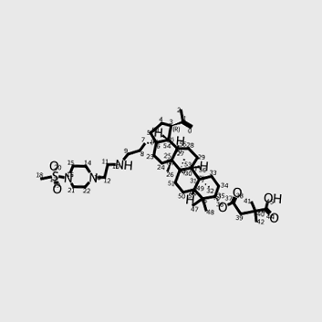 C=C(C)[C@@H]1CC[C@]2(CCCNCCN3CCN(S(C)(=O)=O)CC3)CC[C@]3(C)[C@H](CC[C@@H]4[C@@]5(C)CC[C@H](OC(=O)CC(C)(C)C(=O)O)C(C)(C)[C@@H]5CC[C@]43C)[C@@H]12